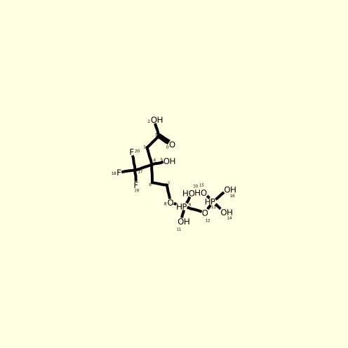 O=C(O)CC(O)(CCO[PH](O)(O)O[PH](O)(O)O)C(F)(F)F